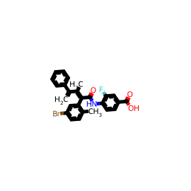 C=C(/C(C)=C(/C(=O)Nc1ccc(C(=O)O)cc1F)c1cc(Br)ccc1C)c1ccccc1